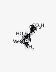 CO/N=C(\C(=O)N[C@@H]1C(=O)N2C(C(=O)O)=C(CSc3nn4c(=O)c(C(=O)O)cnc4s3)CS[C@H]12)c1csc(N)n1